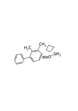 C1CCC1.CO[SiH3].Cc1cccc(-c2ccccc2)c1C